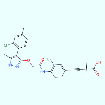 Cc1ccc(-c2c(OCC(=O)Nc3ccc(C#CC(C)(C)C(=O)O)cc3Cl)n[nH]c2C)c(Cl)c1